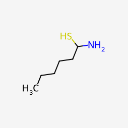 CCCCCC(N)S